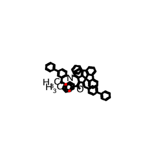 CC1(C)c2ccccc2N(c2cccc3c2-c2c(-c4ccccc4)oc(-c4ccc(-c5ccccc5)cc4)c2C32c3ccccc3-c3cccc(-c4ccccc4)c32)c2ccc(-c3ccccc3)cc21